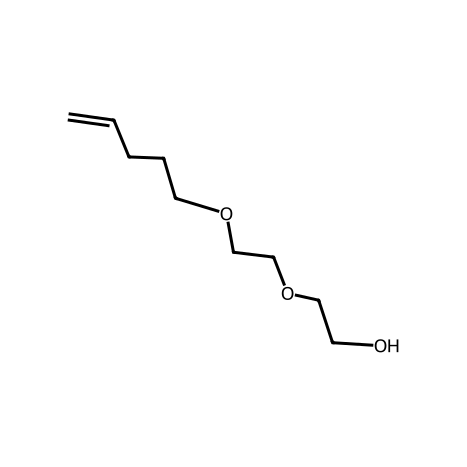 C=CCCCOCCOCCO